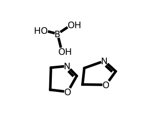 C1=NCCO1.C1=NCCO1.OB(O)O